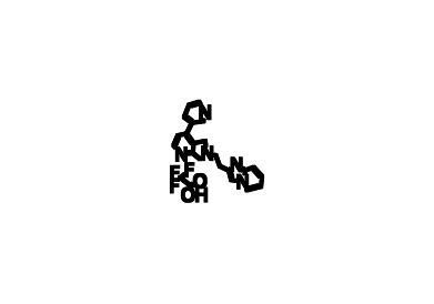 O=C(O)C(F)(F)F.c1cncc(-c2ccnc3c2CN(CCc2cn4ccccc4n2)C3)c1